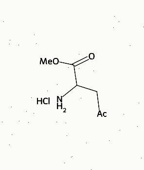 COC(=O)C(N)CC(C)=O.Cl